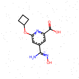 N/C(=N\O)c1cc(OC2CCC2)nc(C(=O)O)c1